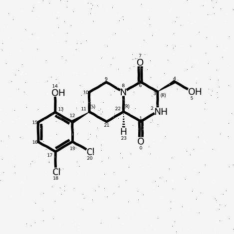 O=C1N[C@H](CO)C(=O)N2CC[C@H](c3c(O)ccc(Cl)c3Cl)C[C@H]12